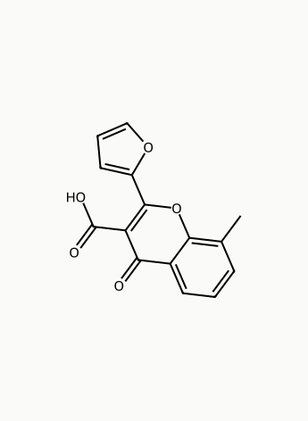 Cc1cccc2c(=O)c(C(=O)O)c(-c3ccco3)oc12